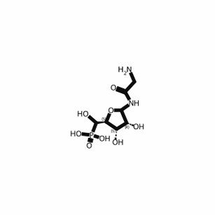 NCC(=O)NC1O[C@H](C(O)P(=O)(O)O)[C@@H](O)[C@H]1O